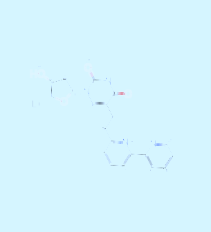 CC[C@H]1O[C@@H](n2cc(CCc3cccc(-c4ccccn4)n3)c(=O)[nH]c2=O)CC1O